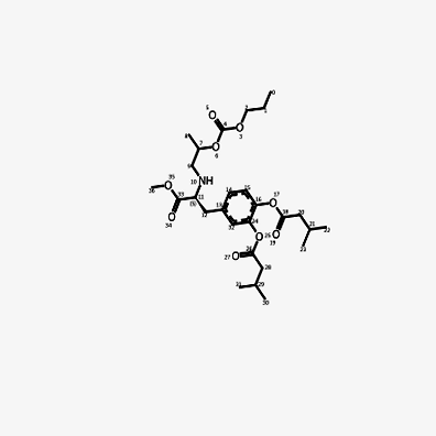 CCCOC(=O)OC(C)CN[C@@H](Cc1ccc(OC(=O)CC(C)C)c(OC(=O)CC(C)C)c1)C(=O)OC